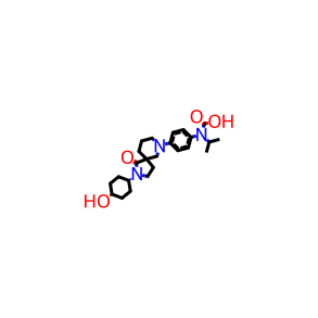 CC(C)N(C(=O)O)c1ccc(N2CCCC3(CCN([C@H]4CC[C@H](O)CC4)C3=O)C2)cc1